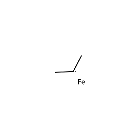 C[CH]C.[Fe]